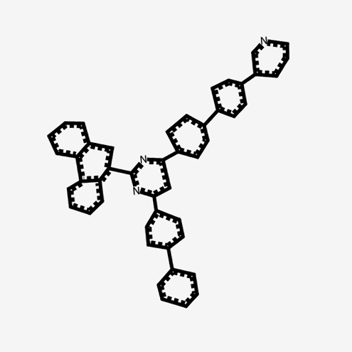 c1ccc(-c2ccc(-c3cc(-c4ccc(-c5ccc(-c6cccnc6)cc5)cc4)nc(-c4cc5ccccc5c5ccccc45)n3)cc2)cc1